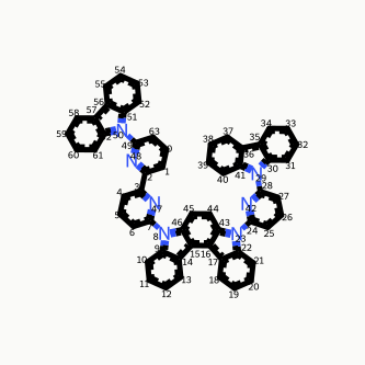 c1cc(-c2cccc(-n3c4ccccc4c4c5c6ccccc6n(-c6cccc(-n7c8ccccc8c8ccccc87)n6)c5ccc43)n2)nc(-n2c3ccccc3c3ccccc32)c1